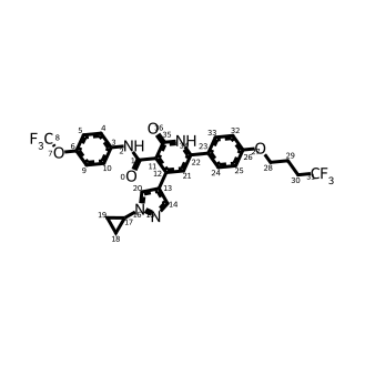 O=C(Nc1ccc(OC(F)(F)F)cc1)c1c(-c2cnn(C3CC3)c2)cc(-c2ccc(OCCCC(F)(F)F)cc2)[nH]c1=O